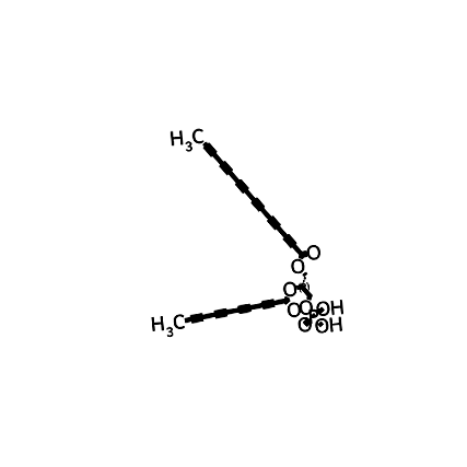 CC#CC#CC#CC#CC#CC#CC(=O)OC[C@H](COP(=O)(O)O)OC(=O)C#CC#CC#CC#CC